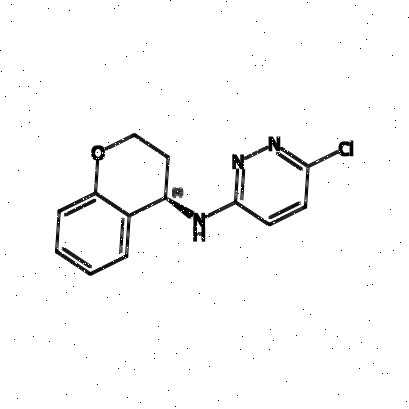 Clc1ccc(N[C@@H]2CCOc3ccccc32)nn1